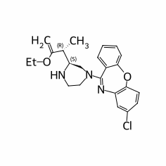 C=C(OCC)[C@H](C)[C@H]1CN(C2=Nc3cc(Cl)ccc3Oc3ccccc32)CCN1